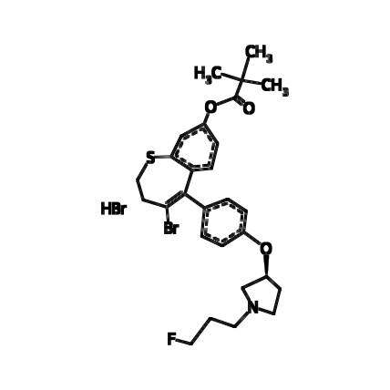 Br.CC(C)(C)C(=O)Oc1ccc2c(c1)SCCC(Br)=C2c1ccc(O[C@H]2CCN(CCCF)C2)cc1